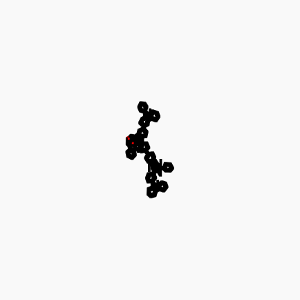 c1ccc(-c2nc(-c3ccc(-c4ccc(-n5c6ccccc6c6cc(-c7ccc8c(c7)c7ccccc7n8-c7ccccc7)ccc65)c(-n5c6ccccc6c6ccccc65)c4)cc3)nc(-c3cccc(-n4c5ccccc5c5ccccc54)c3)n2)cc1